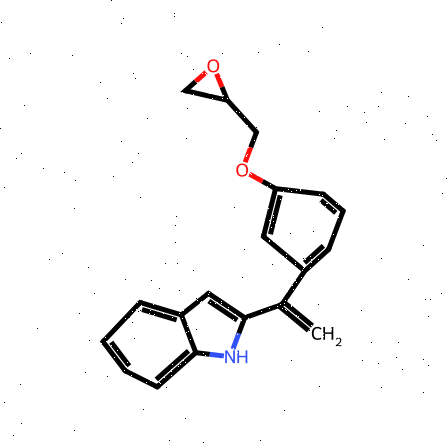 C=C(c1cccc(OCC2CO2)c1)c1cc2ccccc2[nH]1